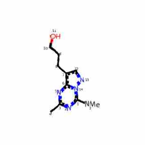 CNc1nc(C)nc2c(CCCO)cnn12